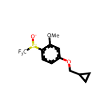 COc1cc(OCC2CC2)ccc1[S+]([O-])C(F)(F)F